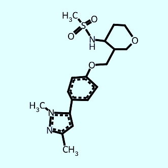 Cc1cc(-c2ccc(OCC3COCCC3NS(C)(=O)=O)cc2)n(C)n1